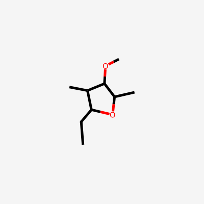 CCC1OC(C)C(OC)C1C